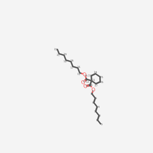 CCCCCCCCOC(=O)C1(C(=O)OCCCCCCCC)CCCCC1